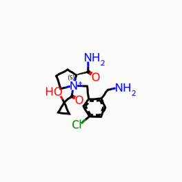 NCc1ccc(Cl)cc1C[N+]1(C(=O)C2(O)CC2)CCC[C@H]1C(N)=O